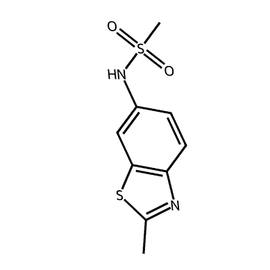 Cc1nc2ccc(NS(C)(=O)=O)cc2s1